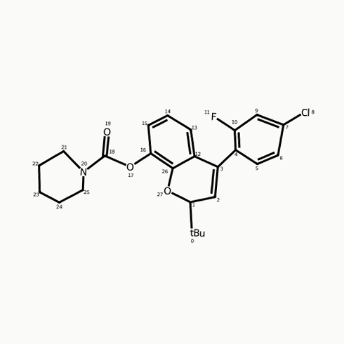 CC(C)(C)C1C=C(c2ccc(Cl)cc2F)c2cccc(OC(=O)N3CCCCC3)c2O1